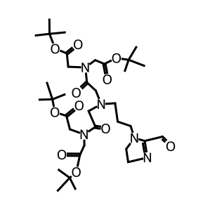 CC(C)(C)OC(=O)CN(CC(=O)OC(C)(C)C)C(=O)CN(CCCN1CCN=C1C=O)CC(=O)N(CC(=O)OC(C)(C)C)CC(=O)OC(C)(C)C